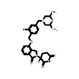 [2H]C1(N2Cc3c(OCc4ccc(CN5CC(C)OC(C)C5)cc4F)cccc3C2=O)CCC(=O)NC1=O